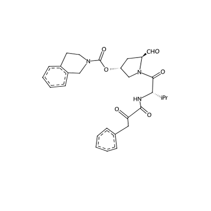 CC(C)[C@H](NC(=O)C(=O)Cc1ccccc1)C(=O)N1C[C@H](OC(=O)N2CCc3ccccc3C2)C[C@H]1C=O